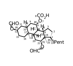 CCC[C@H](C)[C@H]1CC[C@H]2[C@@H]3[C@H](OC(=O)O)C[C@@H]4C[C@H](OC=O)CC[C@]4(C)[C@H]3C[C@H](OC=O)[C@]12C